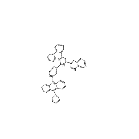 c1ccc(-c2c3ccccc3c(-c3cccc(-c4nc(-c5cnc6ccccc6c5)cc(-c5ccccc5-c5ccccn5)n4)c3)c3ccccc23)cc1